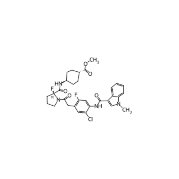 COC(=O)[C@H]1CC[C@H](NC(=O)[C@@]2(F)CCCN2C(=O)Cc2cc(Cl)c(NC(=O)c3cn(C)c4ccccc34)cc2F)CC1